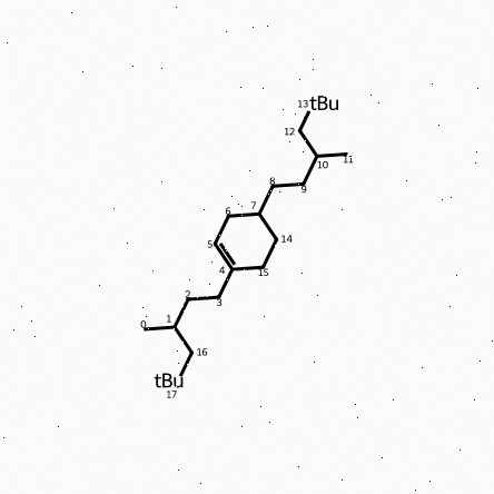 CC(CCC1=CCC(CCC(C)CC(C)(C)C)CC1)CC(C)(C)C